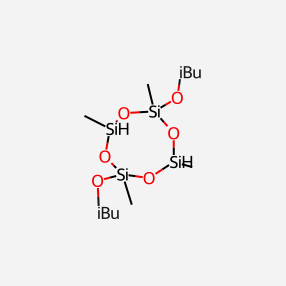 CCC(C)O[Si]1(C)O[SiH](C)O[Si](C)(OC(C)CC)O[SiH](C)O1